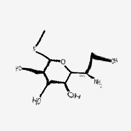 CSC1OC([C@H](N)CO)C(O)C(O)C1O